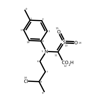 Cc1ccc(N(CCC(C)Cl)C(C(=O)O)=S(=O)=O)cc1